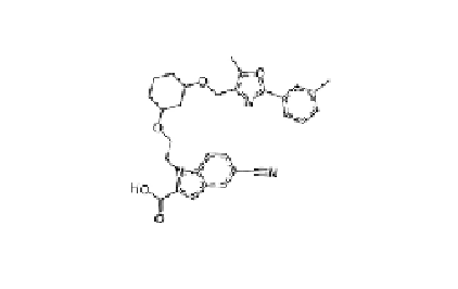 Cc1cccc(-c2nc(COC3CCCC(OCCn4c(C(=O)O)cc5cc(C#N)ccc54)C3)c(C)o2)c1